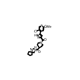 COc1cc(-c2cc(C(=O)N3CCC(C(=O)NCC4(N(C)C)CCCC4)CC3)n[nH]2)c(Cl)cn1